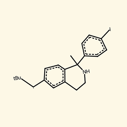 CC(C)(C)[CH]c1ccc2c(c1)CCNC2(C)c1ccc(I)cc1